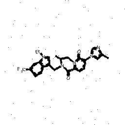 CCn1cc(CN2C(=O)c3ccc(-n4cnc(C)c4)c(=O)n3CC2C)c2ccc(C(F)(F)F)cc21